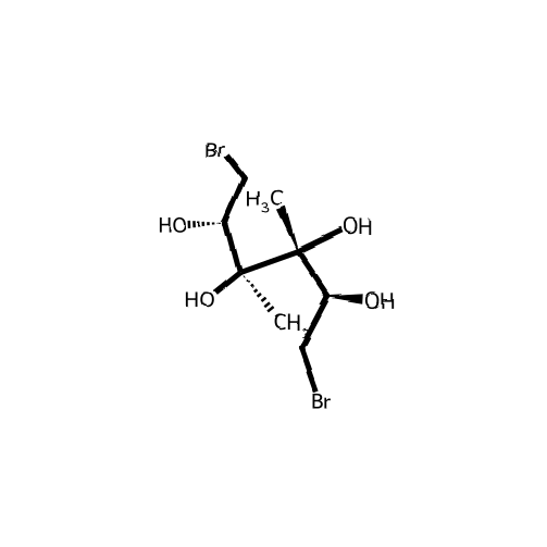 C[C@](O)([C@H](O)CBr)[C@](C)(O)[C@@H](O)CBr